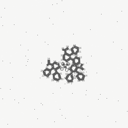 C=C(C)c1ccc(OP(=O)(Oc2ccc(C(=C)C)c(-c3ccccc3)c2-c2ccccc2)Oc2ccc(C(=C)C)c(-c3ccccc3)c2-c2ccccc2)c(-c2ccccc2)c1-c1ccccc1